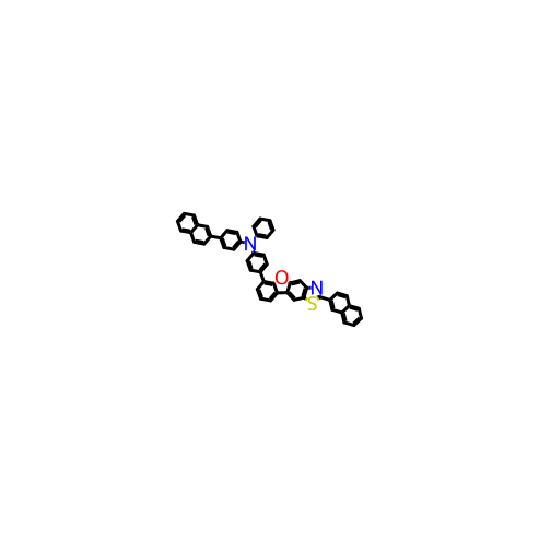 c1ccc(N(c2ccc(-c3ccc4ccccc4c3)cc2)c2ccc(-c3cccc4c3oc3cc5nc(-c6ccc7ccccc7c6)sc5cc34)cc2)cc1